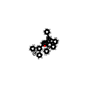 O=P(c1ccccc1)(c1ccccc1)c1ccc(-c2ccc(-c3nc(-c4ccccc4)nc4c3C3(c5ccccc5-4)c4ccccc4N(c4ccccc4)c4ccccc43)cc2)cc1